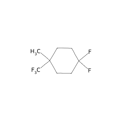 CC1(C(F)(F)F)CCC(F)(F)CC1